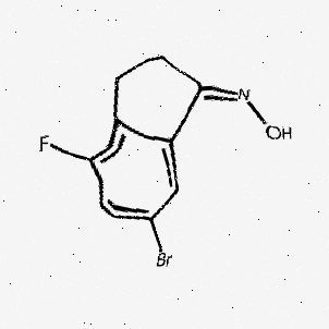 O/N=C1/CCc2c(F)cc(Br)cc21